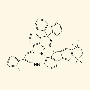 Cc1ccccc1-c1cc2c3c(c1)-c1cccc4c1N(B3c1c(ccc3c1oc1cc5c(cc13)C(C)(C)CCC5(C)C)N2)c1ccccc1C4(c1ccccc1)c1ccccc1